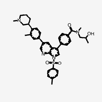 Cc1ccc(S(=O)(=O)n2cc(-c3ccc(C(=O)N(C)CC(C)O)cc3)c3cc(-c4ccc(C5CCCN(C)C5)c(C)c4)cnc32)cc1